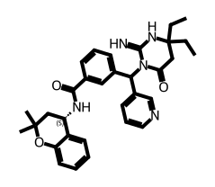 CCC1(CC)CC(=O)N(C(c2cccnc2)c2cccc(C(=O)N[C@H]3CC(C)(C)Oc4ccccc43)c2)C(=N)N1